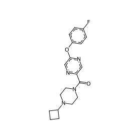 O=C(c1cnc(Oc2ccc(F)cc2)cn1)N1CCN(C2CCC2)CC1